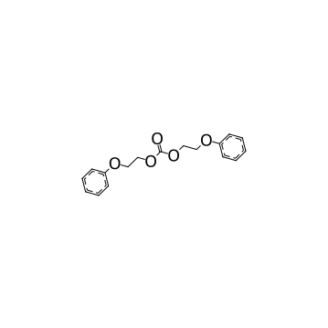 O=C(OCCOc1ccccc1)OCCOc1ccccc1